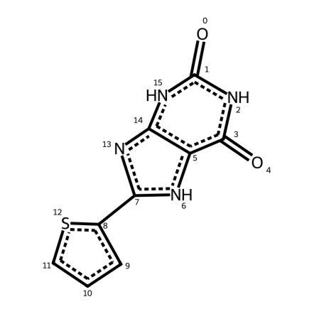 O=c1[nH]c(=O)c2[nH]c(-c3cccs3)nc2[nH]1